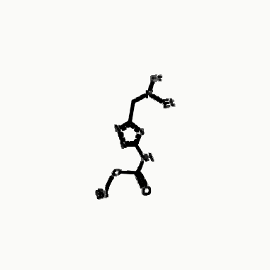 CCN(CC)Cc1nnc(NC(=O)OC(C)(C)C)s1